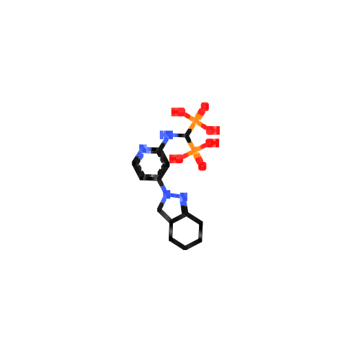 O=P(O)(O)C(Nc1cc(N2CC3CCCCC3=N2)ccn1)P(=O)(O)O